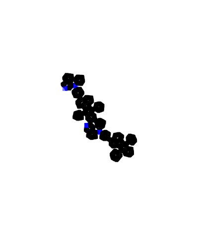 c1ccc(-c2c3c(c(-c4ccccc4)c4ccccc24)-c2ccc(-c4ccc(N(c5cccc(-c6ccc7c(-c8ccccc8)c8c(c(-c9ccccc9)c7c6)-c6cccc7c(-c9ccc(N(c%10ccccc%10)c%10cncc%11ccccc%10%11)cc9)ccc-8c67)c5)c5cccc6cnccc56)cc4)c4cccc-3c24)cc1